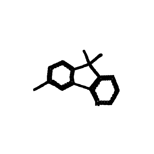 Cc1ccc2c(c1)-c1ncccc1C2(C)C